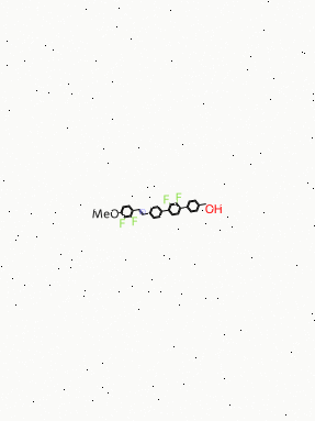 COc1ccc(/C=C/c2ccc(-c3ccc(-c4ccc(CO)cc4)c(F)c3F)cc2)c(F)c1F